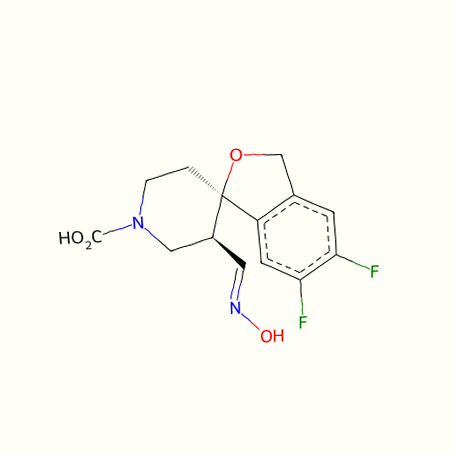 O=C(O)N1CC[C@@]2(OCc3cc(F)c(F)cc32)[C@@H](/C=N/O)C1